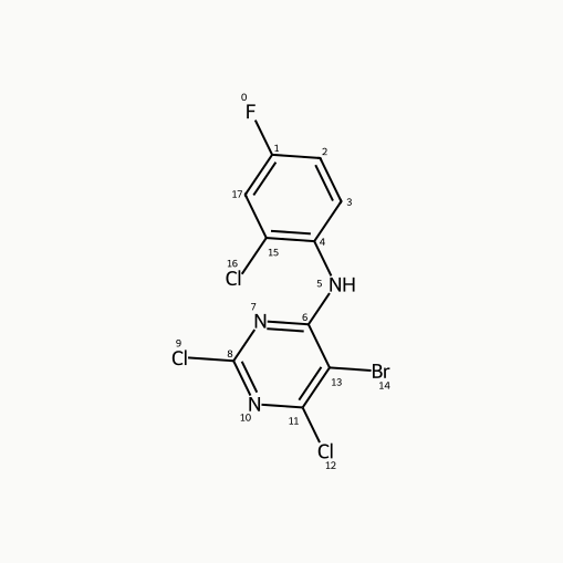 Fc1ccc(Nc2nc(Cl)nc(Cl)c2Br)c(Cl)c1